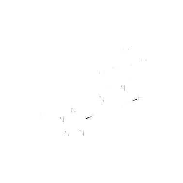 Cn1nnc([C@@H]2CC[C@@H]3CN2C(=O)N3OS(=O)(=O)O)n1